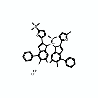 Cc1ccc(C2=Cc3c(cc(C)c(C)c3-c3ccccc3)[CH]2[Zr+2]([CH]2C(c3ccc([Si](C)(C)C)o3)=Cc3c2cc(C)c(C)c3-c2ccccc2)=[Si](C)C)o1.[Cl-].[Cl-]